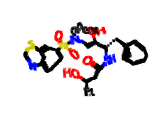 CCCCCN(C[C@@H](O)[C@H](Cc1ccccc1)NC(=O)C[C@H](O)CC)S(=O)(=O)c1ccc2ncsc2c1